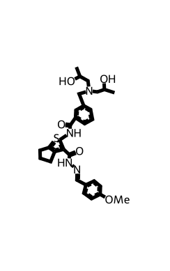 COc1ccc(C=NNC(=O)c2c(NC(=O)c3cccc(CN(CC(C)O)CC(C)O)c3)sc3c2CCC3)cc1